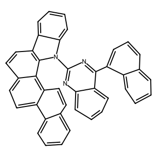 c1ccc2c(-c3nc(-n4c5ccccc5c5ccc6ccc7c8ccccc8ccc7c6c54)nc4ccccc34)cccc2c1